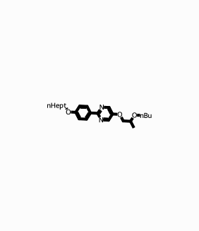 CCCCCCCOc1ccc(-c2ncc(OCC(C)OCCCC)cn2)cc1